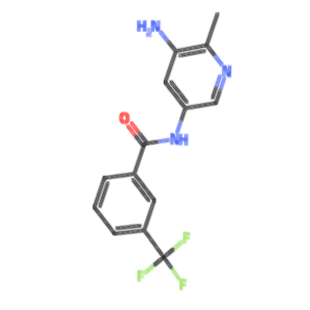 Cc1ncc(NC(=O)c2cccc(C(F)(F)F)c2)cc1N